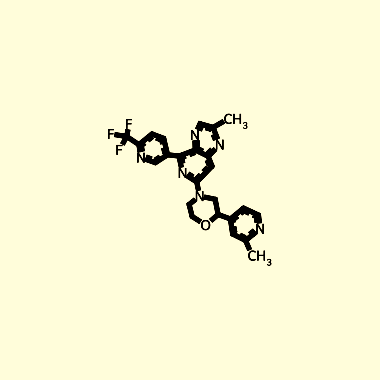 Cc1cc(C2CN(c3cc4nc(C)cnc4c(-c4ccc(C(F)(F)F)nc4)n3)CCO2)ccn1